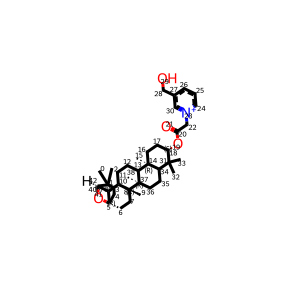 CC1(C)CC[C@]23CC[C@]4(C)C(CCC5[C@@]6(C)CC[C@H](OC(=O)C[n+]7cccc(CO)c7)C(C)(C)C6CC[C@]54C)C2[C@H]1O3